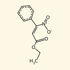 CCOC(=O)C=C(c1ccccc1)[N+](=O)[O-]